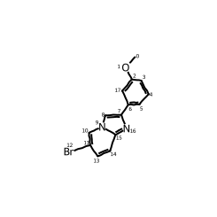 COc1cccc(-c2cn3cc(Br)ccc3n2)c1